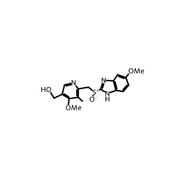 COc1ccc2[nH]c([S+]([O-])Cc3ncc(CO)c(OC)c3C)nc2c1